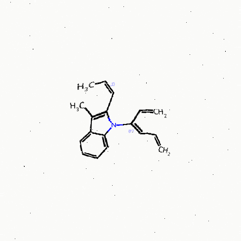 C=C/C=C(\C=C)n1c(/C=C\C)c(C)c2ccccc21